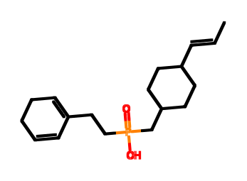 C/C=C/C1CCC(CP(=O)(O)CCC2=CCCC=C2)CC1